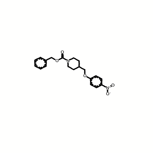 O=C(OCc1ccccc1)N1CCC(COc2ccc([N+](=O)[O-])cc2)CC1